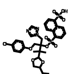 CCC1COC(C(C)(C)C(COc2ccc(Cl)cc2)(Cn2cncn2)OS(=O)(=O)c2cccc3c(S(=O)(=O)O)cccc23)O1